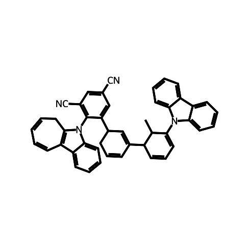 CC1C(n2c3ccccc3c3ccccc32)=CC=CC1C1=CC(c2cc(C#N)cc(C#N)c2-n2c3c(c4ccccc42)C=CC=CC3)CC=C1